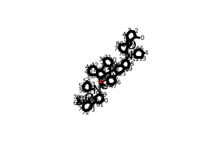 Cc1cccc2c1oc1c(N(c3ccccc3)c3ccc4cc5c(cc4c3)C3(c4ccccc4-c4c3ccc3ccccc43)c3c-5ccc4cc(N(c5ccccc5)c5cccc6c5oc5c([Si](C)(C)C)cccc56)ccc34)cccc12